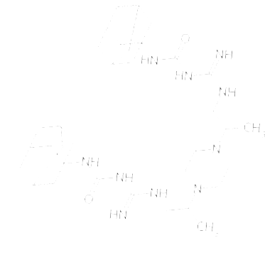 CC(CNC(=N)NC(=O)NC12CC3CC(CC(C3)C1)C2)N1CCN(C(C)CNC(=N)NC(=O)NC23CC4CC(CC(C4)C2)C3)CC1